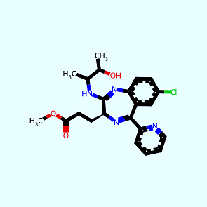 COC(=O)CC[C@@H]1N=C(c2ccccn2)c2cc(Cl)ccc2N=C1NC(C)C(C)O